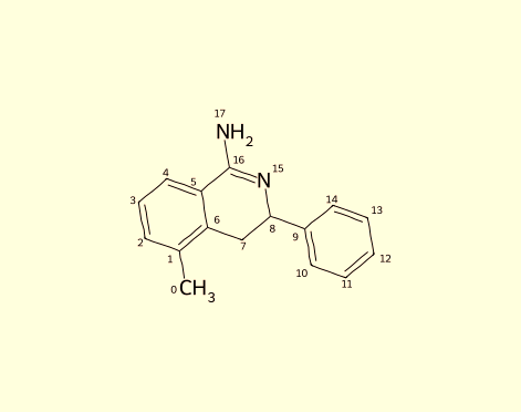 Cc1cccc2c1CC(c1ccccc1)N=C2N